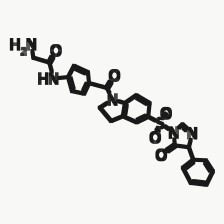 NCC(=O)Nc1ccc(C(=O)N2CCc3cc(S(=O)(=O)N4C=NC(c5ccccc5)C4=O)ccc32)cc1